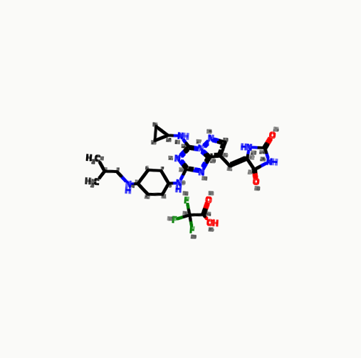 CC(C)CNC1CCC(Nc2nc(NC3CC3)n3ncc(C=C4NC(=O)NC4=O)c3n2)CC1.O=C(O)C(F)(F)F